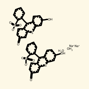 O.O.O=c1ccc2c(-c3ccccc3S(=O)(=O)[O-])c3ccc(O)cc3sc-2c1.O=c1ccc2c(-c3ccccc3S(=O)(=O)[O-])c3ccc(O)cc3sc-2c1.[Na+].[Na+]